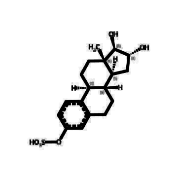 C[C@]12CC[C@@H]3c4ccc(OS(=O)(=O)O)cc4CC[C@H]3[C@@H]1C[C@@H](O)[C@@H]2O